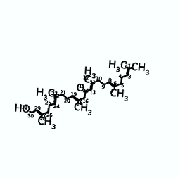 CC(C)=CCCC(C)=CCCC(C)=CC(=O)CC(C)=CCCC(C)=CCCC(C)=CCO